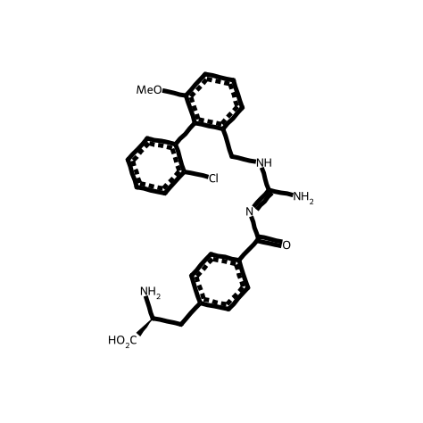 COc1cccc(CNC(N)=NC(=O)c2ccc(C[C@H](N)C(=O)O)cc2)c1-c1ccccc1Cl